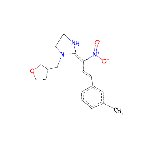 Cc1cccc(/C=C/C(=C2/NCCN2CC2CCOC2)[N+](=O)[O-])c1